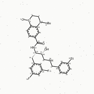 CCCCN1CC[S+]([O-])c2ccc(C(=O)N[C@@H](Cc3cc(F)cc(F)c3)[C@H](O)CNCc3cccc(CC)c3)cc21